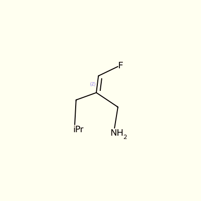 CC(C)C/C(=C/F)CN